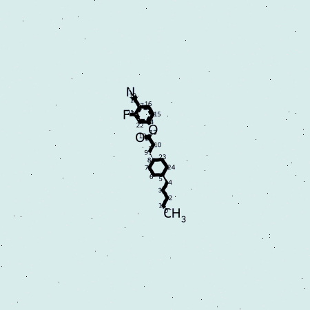 CCCCC[C@H]1CC[C@H](CCC(=O)Oc2ccc(C#N)c(F)c2)CC1